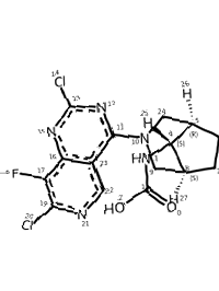 O=C(O)N[C@@H]1[C@@H]2CC[C@H]1CN(c1nc(Cl)nc3c(F)c(Cl)ncc13)C2